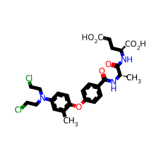 Cc1cc(N(CCCl)CCCl)ccc1Oc1ccc(C(=O)N[C@@H](C)C(=O)N[C@@H](CCC(=O)O)C(=O)O)cc1